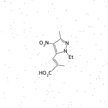 CCn1nc(C)c([N+](=O)[O-])c1/C=C(\C)C(=O)O